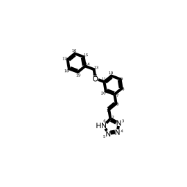 C(=C\c1nnn[nH]1)/c1cccc(OCc2ccccc2)c1